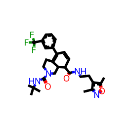 Cc1noc(C)c1CCNC(=O)C1C=CC(c2cccc(C(F)(F)F)c2)=C2CCN(C(=O)NC(C)(C)C)CC21